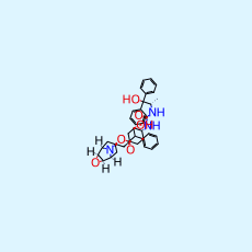 C[C@H](NC(=O)N[C@H]1CC[C@H](CCN2[C@@H]3CC(OC(=O)C(CO)c4ccccc4)C[C@H]2[C@H]2O[C@H]23)CC1)C(O)(c1ccccc1)c1ccccc1